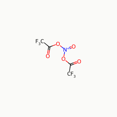 O=C(O[N+](=O)OC(=O)C(F)(F)F)C(F)(F)F